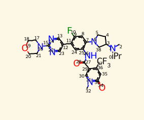 CC(C)N(C)C1CCN(c2cc(F)c(-c3cnc(N4CCOCC4)nc3)cc2NC(=O)c2cn(C)c(=O)cc2C(F)(F)F)C1